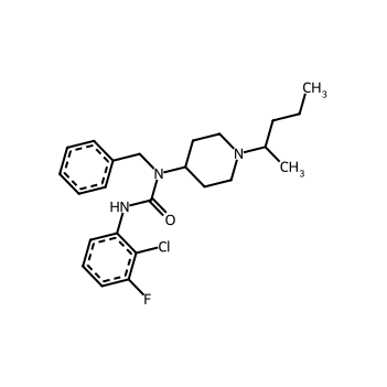 CCCC(C)N1CCC(N(Cc2ccccc2)C(=O)Nc2cccc(F)c2Cl)CC1